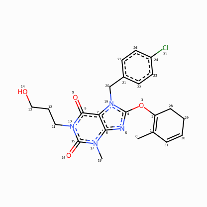 CC1=C(Oc2nc3c(c(=O)n(CCCO)c(=O)n3C)n2Cc2ccc(Cl)cc2)CCC=C1